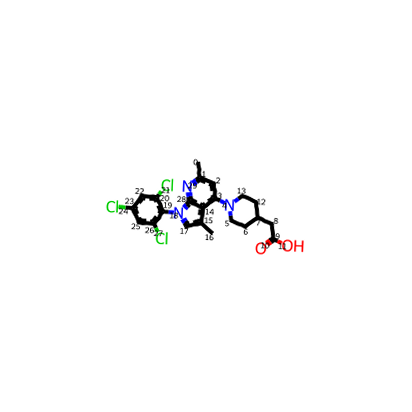 Cc1cc(N2CCC(CC(=O)O)CC2)c2c(C)cn(-c3c(Cl)cc(Cl)cc3Cl)c2n1